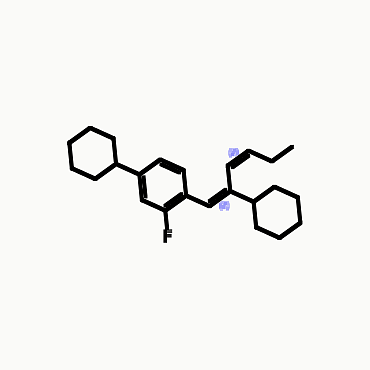 CC/C=C\C(=C/c1ccc(C2CCCCC2)cc1F)C1CCCCC1